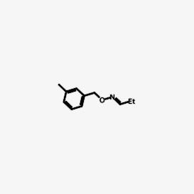 CCC=NOCc1cccc(C)c1